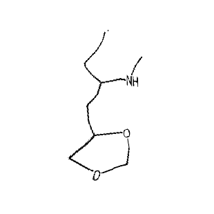 [CH2]CC(CC1COCO1)NC